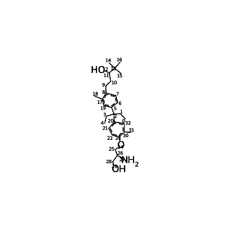 CCC(CC)(c1ccc(CCC(O)C(C)(C)C)c(C)c1)c1ccc(OC[C@@H](N)CO)c(C)c1